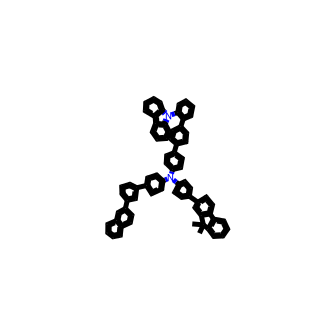 CC1(C)c2ccccc2-c2ccc(-c3ccc(N(c4ccc(-c5ccc(-c6ccccc6-n6c7ccccc7c7ccccc76)cc5)cc4)c4ccc(-c5cccc(-c6ccc7ccccc7c6)c5)cc4)cc3)cc21